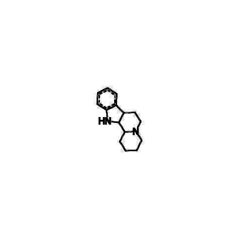 c1ccc2c(c1)NC1C2CCN2CCCCC12